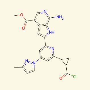 COC(=O)c1cnc(N)c2[nH]c(-c3cc(-n4ccc(C)n4)cc(C4CC4C(=O)Cl)n3)cc12